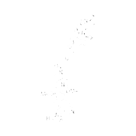 COc1cc(-c2cn(C)c(=O)c3cnccc23)cc(OC)c1CN1CCC12CCN(C(=O)CCOCCOc1ccc3c(c1)C(=O)N(C1CCC(=O)NC1=O)C3=O)C2